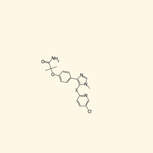 Cn1cnc(-c2ccc(OC(C)(C)C(N)=O)cc2)c1Sc1ccc(Cl)cn1